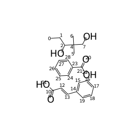 CCC(O)C(C)(C)CO.O=C(O)C=Cc1ccccc1.O=C(O)c1ccccc1